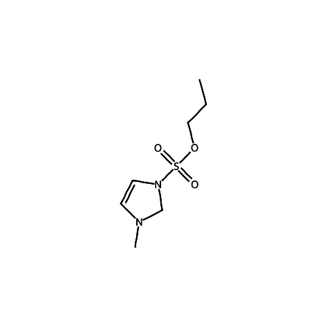 CCCOS(=O)(=O)N1C=CN(C)C1